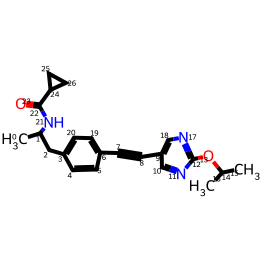 CC(Cc1ccc(C#Cc2cnc(OC(C)C)nc2)cc1)NC(=O)C1CC1